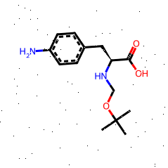 CC(C)(C)OCN[C@@H](Cc1ccc(N)cc1)C(=O)O